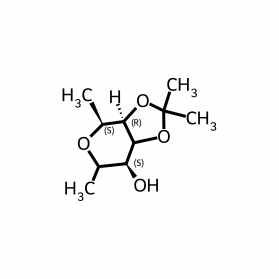 CC1O[C@@H](C)[C@H]2OC(C)(C)OC2[C@H]1O